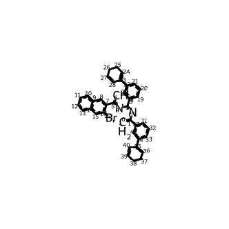 C=C(/N=C(\N=C(/C)c1cc2ccccc2cc1Br)c1cccc(C2=CCCC=C2)c1)c1cccc(C2=CCCC=C2)c1